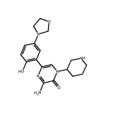 Nc1nc(-c2cc(N3CCOC3)ccc2O)cn(C2CCCNC2)c1=O